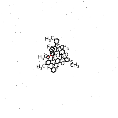 CSc1cc(C)c2c(c1)Oc1c(sc3ccc(C)cc13)B2c1cc2c(cc1C)Oc1cc(SC)cc3c1B2c1cc2c(cc1O3)N(c1c(F)cccc1F)c1cc(C)cc3c1B2c1sc2ccc(F)cc2c1O3